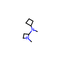 CN1CCC1N(C)C1CCC1